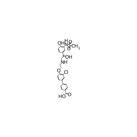 CS(=O)(=O)Nc1cc([C@H](O)CNCCOc2ccc(-c3ccc(C(=O)O)cc3)cc2Cl)ccc1O